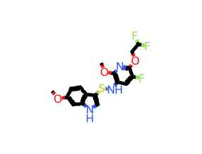 COc1ccc2c(SNc3cc(F)c(OCC(F)F)nc3OC)c[nH]c2c1